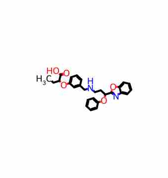 CCC(Oc1cccc(CNCCC(Oc2ccccc2)c2nc3ccccc3o2)c1)C(=O)O